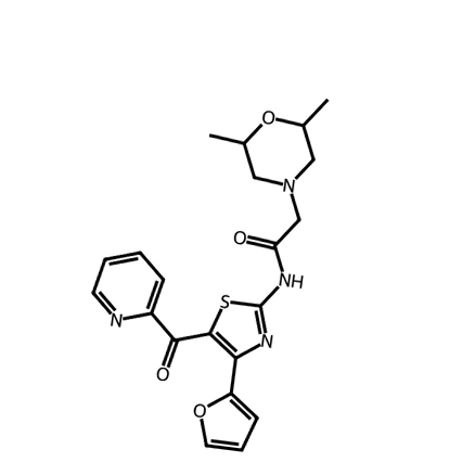 CC1CN(CC(=O)Nc2nc(-c3ccco3)c(C(=O)c3ccccn3)s2)CC(C)O1